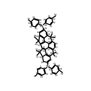 Cc1ccc(N(C2=CC3=C4c5c(c6c7c8c(ccc(c58)C3(C)C)C(C)(C)c3cc(N(c5ccc(C)cc5)c5ccc(C)cc5)cc(c3-7)C6(C)C)C(C)(C)C4C2)c2ccc(C)cc2)cc1